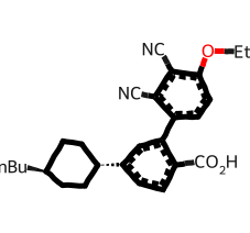 CCCC[C@H]1CC[C@H](c2ccc(C(=O)O)c(-c3ccc(OCC)c(C#N)c3C#N)c2)CC1